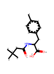 Cc1ccc(CC(NC(=O)CC(C)(C)C)C(=O)O)cc1